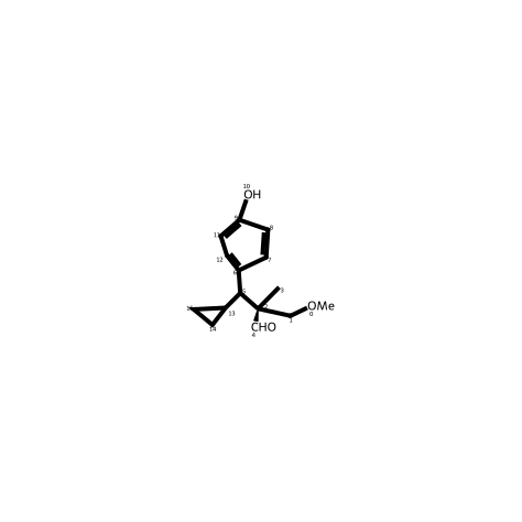 COC[C@](C)(C=O)C(c1ccc(O)cc1)C1CC1